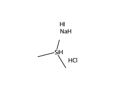 C[SiH](C)C.Cl.I.[NaH]